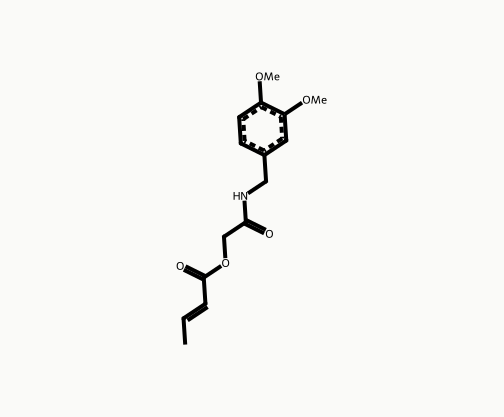 CC=CC(=O)OCC(=O)NCc1ccc(OC)c(OC)c1